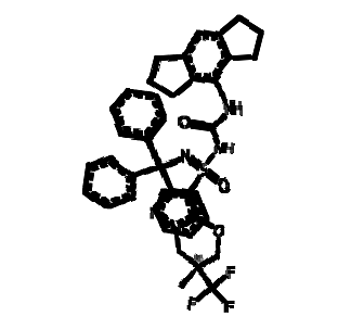 C[C@]1(C(F)(F)F)COc2c(S(=O)(=NC(c3ccccc3)(c3ccccc3)c3ccccc3)NC(=O)Nc3c4c(cc5c3CCC5)CCC4)cnn2C1